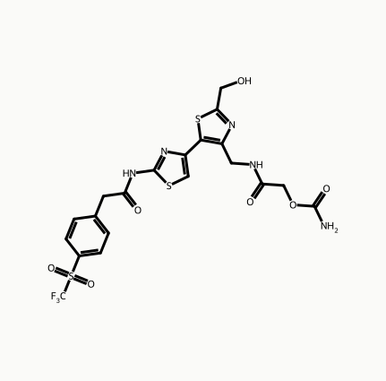 NC(=O)OCC(=O)NCc1nc(CO)sc1-c1csc(NC(=O)Cc2ccc(S(=O)(=O)C(F)(F)F)cc2)n1